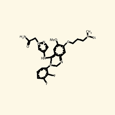 CCN(C)CCCOc1cc2c(cc1OC)=C(Nc1cnn(CC(N)=O)c1)N(c1cccc(F)c1F)CN=2